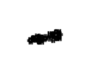 C/C(=C/COc1ccccc1C(F)(F)F)[C@H]1O[C@@H](Oc2ccc(/C=C(\C)C(=O)N[C@@H]3[C@H](O)[C@@H](O)[C@H]4OCO[C@H]4[C@@H]3O)cc2O)[C@@H](O)[C@@H]1O